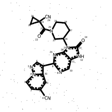 N#Cc1ccn2ncc(-c3ncc4[nH]c(=O)n(C5CCCN(C(=O)C6(C#N)CC6)C5)c4n3)c2c1